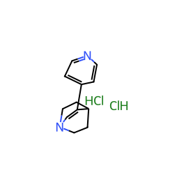 C1=C(c2ccncc2)C2CCN1CC2.Cl.Cl